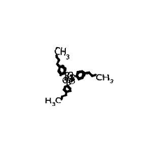 CCCCc1ccc(B2OB(c3ccc(CCCC)cc3)OB(c3ccc(CCCC)cc3)O2)cc1